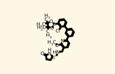 COc1nc(-c2cccc(-c3cccc(B4OC(C)(C)C(C)(C)O4)c3Cl)c2)ccc1CNC[C@@H]1CCC(=O)N1